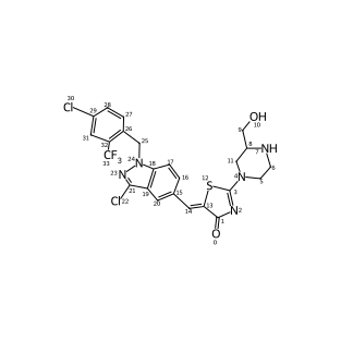 O=C1N=C(N2CCNC(CO)C2)S/C1=C\c1ccc2c(c1)c(Cl)nn2Cc1ccc(Cl)cc1C(F)(F)F